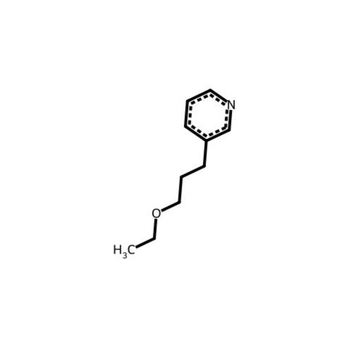 CCOCCCc1cccnc1